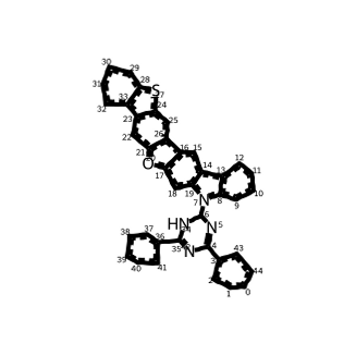 c1ccc(C2=NC(n3c4ccccc4c4cc5c(cc43)oc3cc4c(cc35)sc3ccccc34)NC(c3ccccc3)=N2)cc1